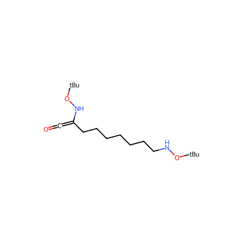 CC(C)(C)ONCCCCCCCC(=C=O)NOC(C)(C)C